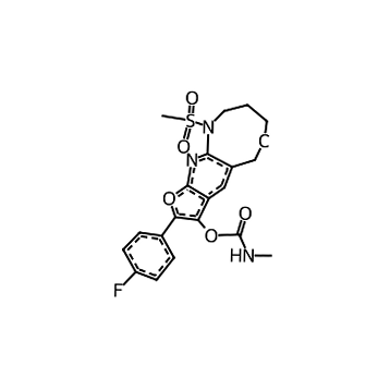 CNC(=O)Oc1c(-c2ccc(F)cc2)oc2nc3c(cc12)CCCCCN3S(C)(=O)=O